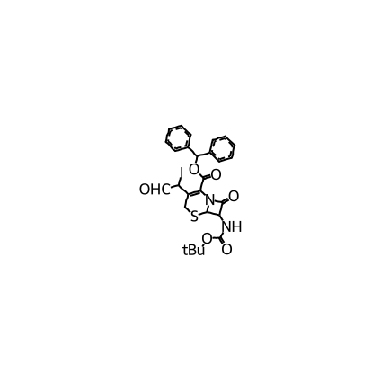 CC(C)(C)OC(=O)NC1C(=O)N2C(C(=O)OC(c3ccccc3)c3ccccc3)=C(C(I)C=O)CSC12